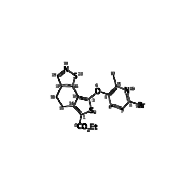 CCOC(=O)c1sc(Oc2ccc(Br)nc2C)c2c1CCc1cnsc1-2